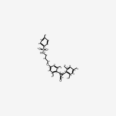 Cc1ccc(S(=O)(=O)NCCCOc2cc(C)c(-c3c(-c4c(C)cc(C)cc4C)c3=O)c(C)c2)cc1